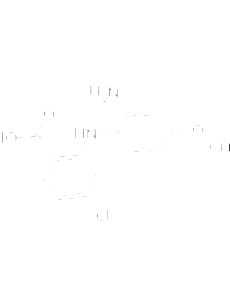 COc1ccc(Nc2cc(Cl)ccc2C(=O)O)c(N)c1